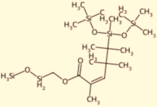 CC(=CC(C)(C)C(C)(C)[Si](C)(O[Si](C)(C)C)O[Si](C)(C)C)C(=O)OC[SiH2]O[SiH3]